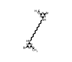 COc1nc(Br)nc(NCCCCCCCCCCCCNc2nc(Br)nc(OC)n2)n1